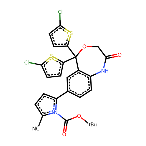 CC(C)(C)OC(=O)n1c(C#N)ccc1-c1ccc2c(c1)C(c1ccc(Cl)s1)(c1ccc(Cl)s1)OCC(=O)N2